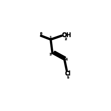 CC(O)C=CCl